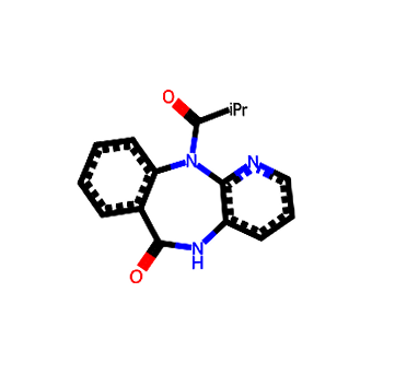 CC(C)C(=O)N1c2ccccc2C(=O)Nc2cccnc21